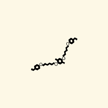 C=Cc1ccc(OCCCCCCOc2cc(C)c(OCCCCCCOc3ccc(C=C)cc3)cc2C)cc1